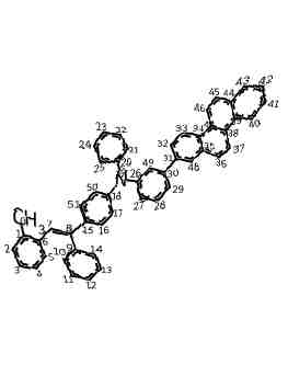 Cc1ccccc1/C=C(\c1ccccc1)c1ccc(N(c2ccccc2)c2cccc(-c3ccc4c(ccc5c6ccccc6ccc45)c3)c2)cc1